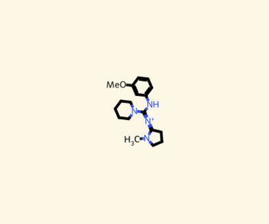 COc1cccc(NC(=[N+]=C2CCCN2C)N2CCCCC2)c1